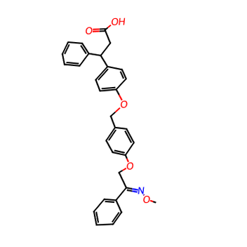 CON=C(COc1ccc(COc2ccc(C(CC(=O)O)c3ccccc3)cc2)cc1)c1ccccc1